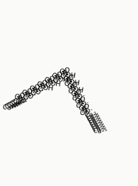 O=P([O-])([O-])O.O=P([O-])([O-])O.O=P([O-])([O-])O.O=P([O-])([O-])O.O=P([O-])([O-])O.O=P([O-])([O-])O.O=P([O-])([O-])[O-].O=P([O-])([O-])[O-].O=P([O-])([O-])[O-].O=P([O-])([O-])[O-].O=P([O-])([O-])[O-].O=P([O-])([O-])[O-].[Ca+2].[Ca+2].[Ca+2].[Ca+2].[Ca+2].[Ca+2].[Ca+2].[Ca+2].[Ca+2].[Ca+2].[Ca+2].[Ca+2].[Ca+2].[Ca+2].[Ca+2]